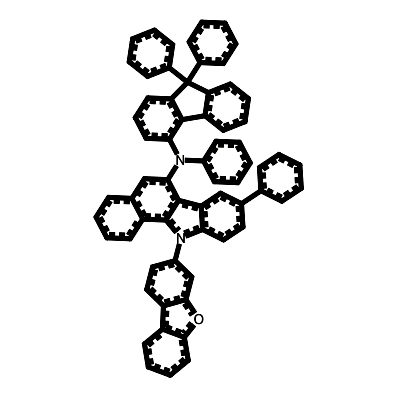 c1ccc(-c2ccc3c(c2)c2c(N(c4ccccc4)c4cccc5c4-c4ccccc4C5(c4ccccc4)c4ccccc4)cc4ccccc4c2n3-c2ccc3c(c2)oc2ccccc23)cc1